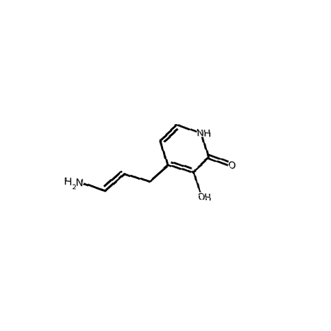 NC=CCc1cc[nH]c(=O)c1O